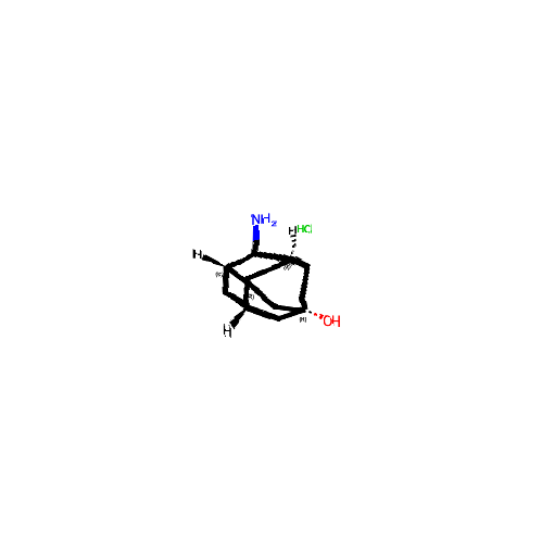 Cl.NC1[C@@H]2C[C@H]3C[C@H]1C[C@](O)(C3)C2